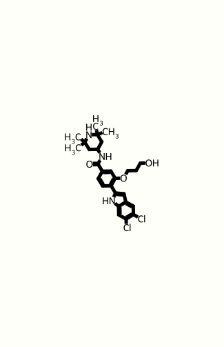 CC1(C)CC(NC(=O)c2ccc(-c3cc4cc(Cl)c(Cl)cc4[nH]3)c(OCCCO)c2)CC(C)(C)N1